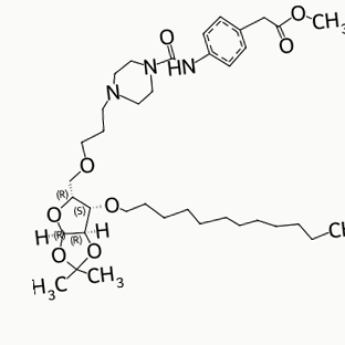 CCCCCCCCCCCCO[C@@H]1[C@H]2OC(C)(C)O[C@H]2O[C@@H]1COCCCN1CCN(C(=O)Nc2ccc(CC(=O)OC)cc2)CC1